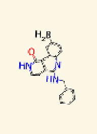 Bc1ccc2nc(NCc3ccccc3)c3cc[nH]c(=O)c3c2c1